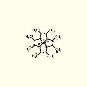 CC[N](CC)[Mo]([N](CC)CC)([N](CC)CC)[N](CC)CC